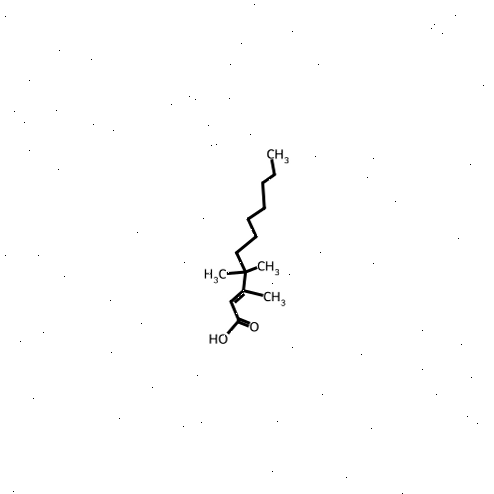 CCCCCCCC(C)(C)C(C)=CC(=O)O